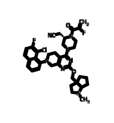 C=C(F)C(=O)N1CCN(c2nc(OCC34CCCC3N(C)CC4)nc3c2CCN(c2cccc4ccc(F)c(Cl)c24)C3)C[C@@H]1CC#N